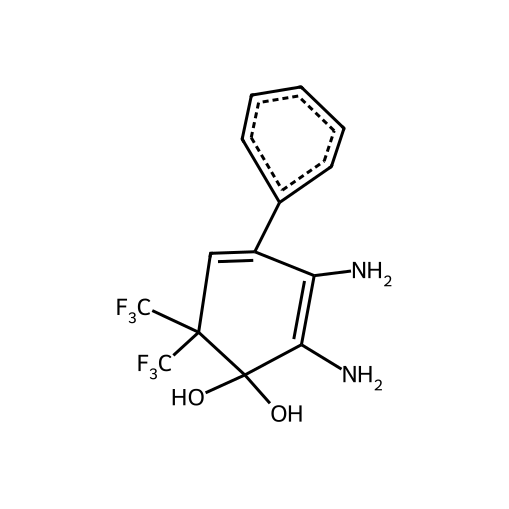 NC1=C(N)C(O)(O)C(C(F)(F)F)(C(F)(F)F)C=C1c1ccccc1